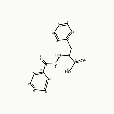 O=C(SNC(Cc1ccccc1)C(=O)O)c1ccccc1